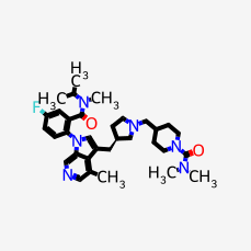 Cc1cncc2c1c(C[C@H]1CCN(CC3CCN(C(=O)N(C)C)CC3)C1)cn2-c1ccc(F)cc1C(=O)N(C)C(C)C